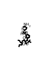 CCCC1(CCC)CC(O)=C([C@@H](c2cccc(NS(=O)(=O)c3ccc(N)cn3)c2)C(C)(C)C)C(=O)O1